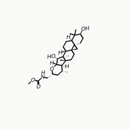 COC(=O)NC[C@H]1C[C@@H](C)[C@H]2[C@H](O1)[C@H](O)[C@@]1(C)[C@@H]3CC[C@H]4C(C)(C)[C@@H](O)CC[C@@]45C[C@@]35CC[C@]21C